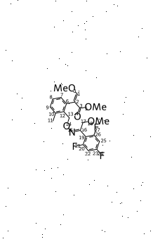 CO/C=C(/C(=O)OC)c1cccc(C)c1CO/N=C(\COC)c1c(F)cc(F)cc1F